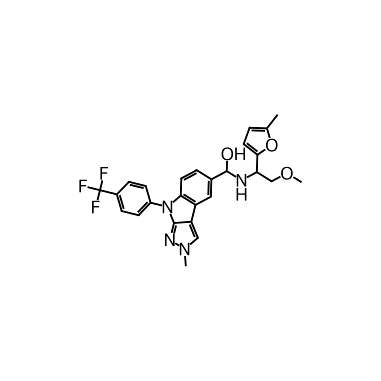 COCC(NC(O)c1ccc2c(c1)c1cn(C)nc1n2-c1ccc(C(F)(F)F)cc1)c1ccc(C)o1